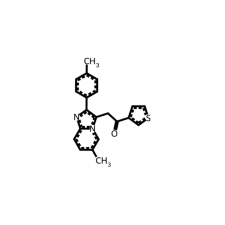 Cc1ccc(-c2nc3ccc(C)cn3c2CC(=O)c2ccsc2)cc1